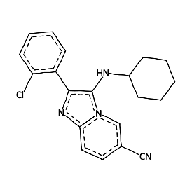 N#Cc1ccc2nc(-c3ccccc3Cl)c(NC3CCCCC3)n2c1